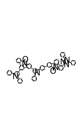 O=c1c2ccccc2c2cc(-c3cc(-c4ccccc4)nc(-c4ccccc4)c3)cc3c4cc(-c5cc(-c6ccccc6)nc(-c6ccc(-c7ccc8c(c7)c(=O)n7c9cccc(-c%10nc(-c%11ccccc%11)nc(-c%11ccccc%11)n%10)c9c9cccc8c97)cc6)c5)ccc4n1c23